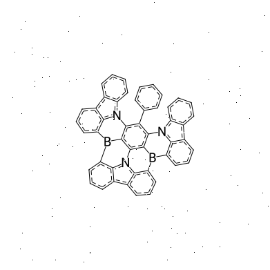 c1ccc(-c2c3c4c5c6c2-n2c7ccccc7c7cccc(c72)B6c2cccc6c7cccc(c7n-5c26)B4c2cccc4c5ccccc5n-3c24)cc1